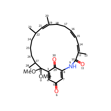 COC1(OC)C2=CC(=O)C=C(NC(=O)C(C)=CC=CCCC(C)=CC(C)CCCC1C)C2=O